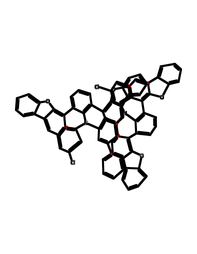 Clc1cccc(N(c2cc(-c3ccccc3)cc(N(c3cccc(Cl)c3)c3c(-c4cccc5c4oc4ccccc45)cccc3-c3cccc4c3oc3ccccc34)c2)c2c(-c3cccc4c3oc3ccccc34)cccc2-c2cccc3c2oc2ccccc23)c1